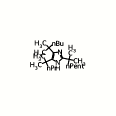 CCCCCC(C)(C)c1nc(C(C)(C)CCCC)c(C(C)(C)CCC)[nH]1